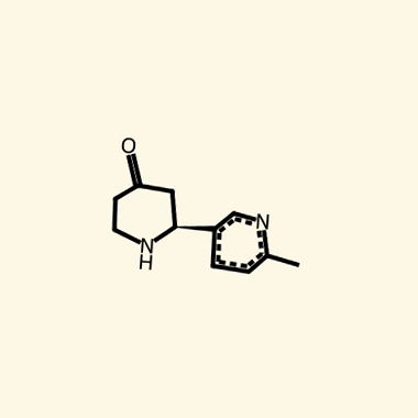 Cc1ccc([C@@H]2CC(=O)CCN2)cn1